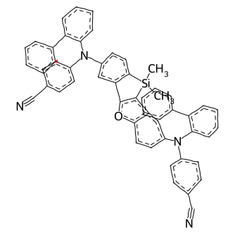 C[Si]1(C)c2ccc(N(c3ccc(C#N)cc3)c3ccccc3-c3ccccc3)cc2-c2oc3ccc(N(c4ccc(C#N)cc4)c4ccccc4-c4ccccc4)cc3c21